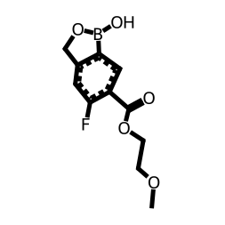 COCCOC(=O)c1cc2c(cc1F)COB2O